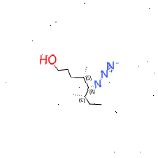 CC[C@H](C)[C@@H](N=[N+]=[N-])[C@@H](C)CCCO